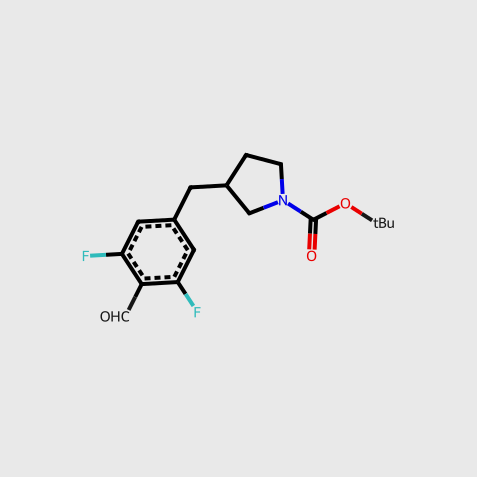 CC(C)(C)OC(=O)N1CCC(Cc2cc(F)c(C=O)c(F)c2)C1